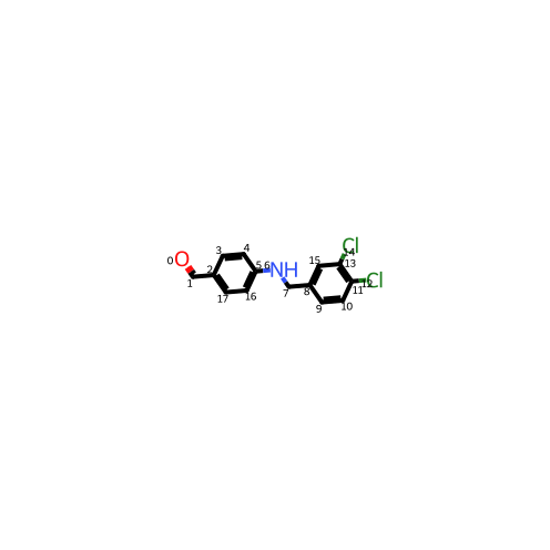 O=Cc1ccc(NCc2ccc(Cl)c(Cl)c2)cc1